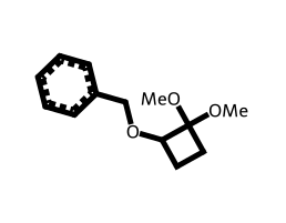 COC1(OC)CCC1OCc1ccccc1